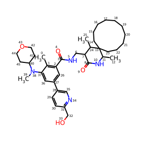 Cc1c(C(=O)NCC2C(=O)NC(C)C3(CCCCCCCCCC3)C2C)cc(-c2ccc(CO)nc2)cc1N(C)C1CCOCC1